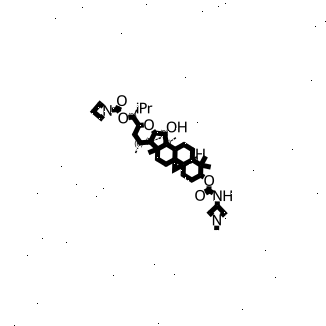 CC(C)[C@@H](OC(=O)N1CCC1)C1C[C@@H](C)[C@@]2(C)C(O1)[C@H](O)[C@@]1(C)C3CC[C@H]4C(C)(C)C(OC(=O)NC5CN(C)C5)CCC45CC35CCC21C